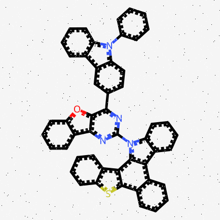 c1ccc(-n2c3ccccc3c3cc(-c4nc(-n5c6ccccc6c6c7ccccc7c7sc8ccccc8c7c65)nc5c4oc4ccccc45)ccc32)cc1